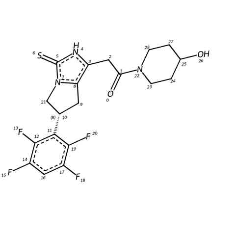 O=C(Cc1[nH]c(=S)n2c1C[C@H](c1c(F)c(F)cc(F)c1F)C2)N1CCC(O)CC1